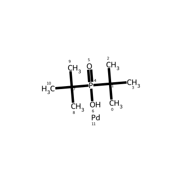 CC(C)(C)P(=O)(O)C(C)(C)C.[Pd]